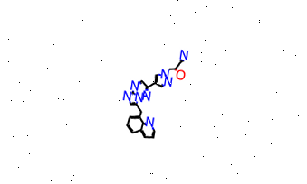 N#CC(=O)Cn1cc(-c2cnc3ncc(Cc4cccc5cccnc45)n3n2)cn1